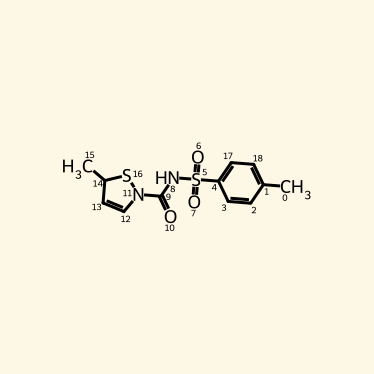 Cc1ccc(S(=O)(=O)NC(=O)N2C=CC(C)S2)cc1